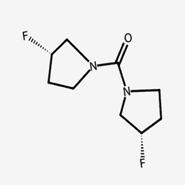 O=C(N1CC[C@H](F)C1)N1CC[C@H](F)C1